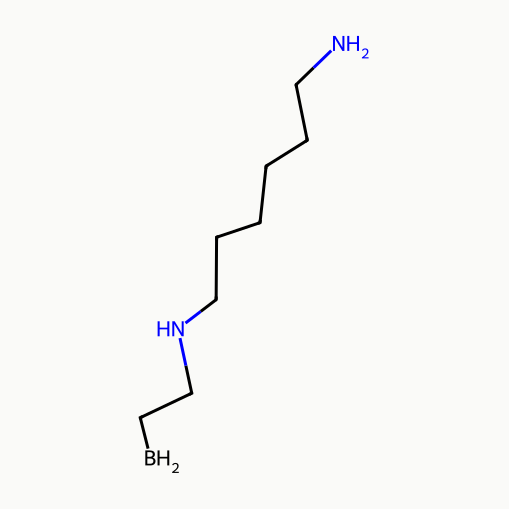 BCCNCCCCCCN